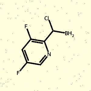 BC(Cl)c1ncc(F)cc1F